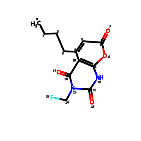 CCCCc1cc(=O)oc2[nH]c(=O)n(CF)c(=O)c12